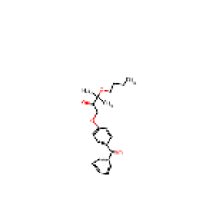 CCCCOC(C)(C)C(=O)COc1ccc(C(=O)c2ccccc2)cc1